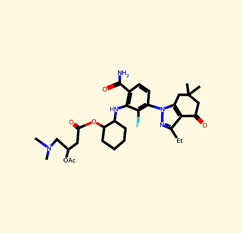 CCc1nn(-c2ccc(C(N)=O)c(NC3CCCCC3OC(=O)CC(CN(C)C)OC(C)=O)c2F)c2c1C(=O)CC(C)(C)C2